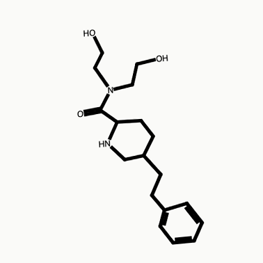 O=C(C1CCC(CCc2ccccc2)CN1)N(CCO)CCO